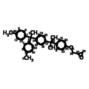 Cc1ccc(C(C)(c2ccc(C)cc2)c2ccc(C(C)(C)c3ccc(OCC4CO4)cc3)cc2)cc1